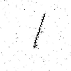 CCCCCCCCCCCCCCCCCCOCCCCCN1C=CSC1.I